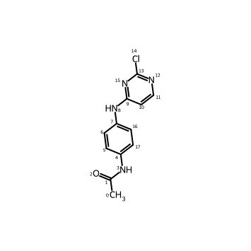 CC(=O)Nc1ccc(Nc2ccnc(Cl)n2)cc1